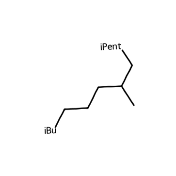 [CH2]CCC(C)CC(C)CCCC(C)C[CH2]